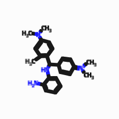 Cc1cc(N(C)C)ccc1C(Nc1ccccc1N)C1C=CC(=[N+](C)C)C=C1